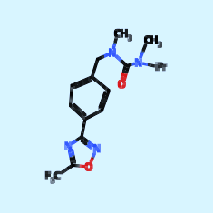 CC(C)N(C)C(=O)N(C)Cc1ccc(-c2noc(C(F)(F)F)n2)cc1